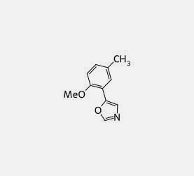 COc1ccc(C)cc1-c1cnco1